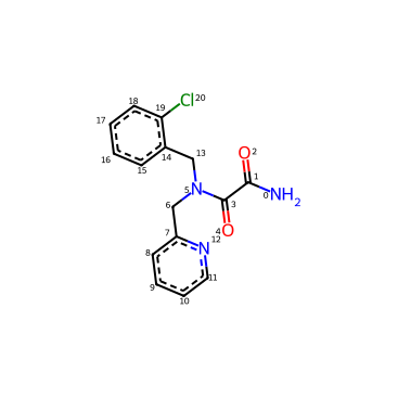 NC(=O)C(=O)N(Cc1ccccn1)Cc1ccccc1Cl